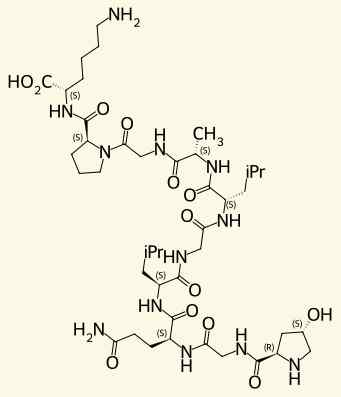 CC(C)C[C@H](NC(=O)CNC(=O)[C@H](CC(C)C)NC(=O)[C@H](CCC(N)=O)NC(=O)CNC(=O)[C@H]1C[C@H](O)CN1)C(=O)N[C@@H](C)C(=O)NCC(=O)N1CCC[C@H]1C(=O)N[C@@H](CCCCN)C(=O)O